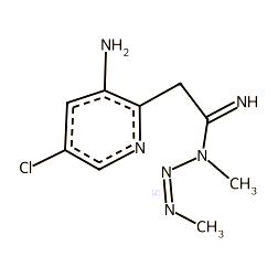 C/N=N\N(C)C(=N)Cc1ncc(Cl)cc1N